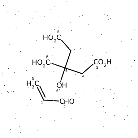 C=CC=O.O=C(O)CC(O)(CC(=O)O)C(=O)O